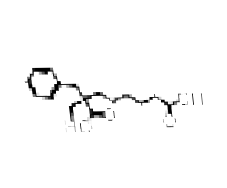 CCC(CCCCCC(=O)O)(Cc1ccccc1)C(=O)O